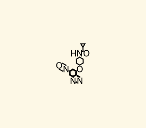 O=C(NC1CCC(Oc2cc(N3CCOCC3)cc3ncncc23)CC1)C1CC1